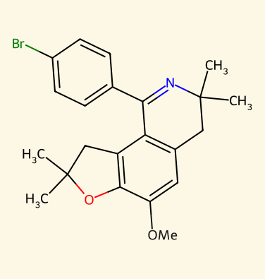 COc1cc2c(c3c1OC(C)(C)C3)C(c1ccc(Br)cc1)=NC(C)(C)C2